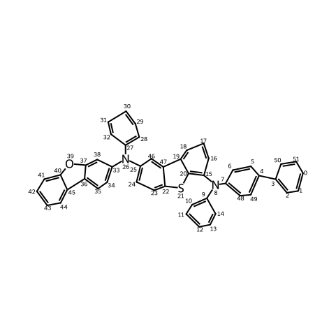 c1ccc(-c2ccc(N(c3ccccc3)c3cccc4c3sc3ccc(N(c5ccccc5)c5ccc6c(c5)oc5ccccc56)cc34)cc2)cc1